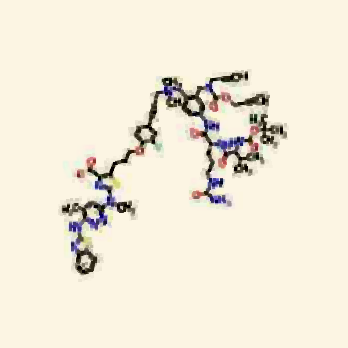 C#CCOC(=O)N(CC#C)Cc1cc(NC(=O)[C@H](CCCNC(N)=O)NC(=O)[C@@H](NC(=O)OC(C)(C)C)C(C)C)ccc1C[N+](C)(C)CC#Cc1ccc(OCCCc2sc(N(C)c3cc(C)c(Nc4nc5ccccc5s4)nn3)nc2C(=O)[O-])c(F)c1